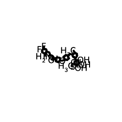 CS[C@H]1O[C@@H](c2ccc(C)c(Cc3ccc(OC4CCN(C(=O)CC(N)Cc5cc(F)c(F)cc5F)CC4)cc3)c2)[C@H](O)[C@@H](O)[C@@H]1O